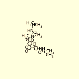 CCN(CC(=O)NCCN(C)C)C(=O)[C@@H](C)Oc1ccc2c(-c3ccc(NC(=O)OCC(C)C)cc3Cl)cc(=O)oc2c1